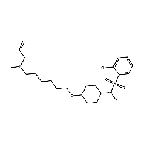 C=CCN(C)CCCCCCOC1CCC(N(C)S(=O)(=O)c2ccccc2Cl)CC1